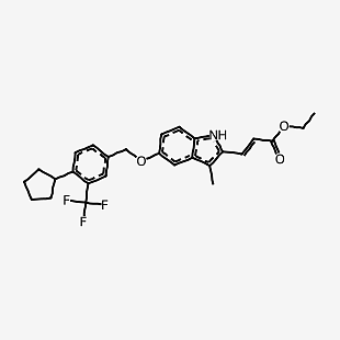 CCOC(=O)/C=C/c1[nH]c2ccc(OCc3ccc(C4CCCC4)c(C(F)(F)F)c3)cc2c1C